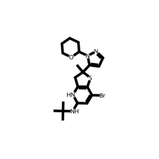 CC(C)(C)NC1C=C(Br)C2=C(CC(C)(c3ccnn3C3CCCCO3)S2)N1